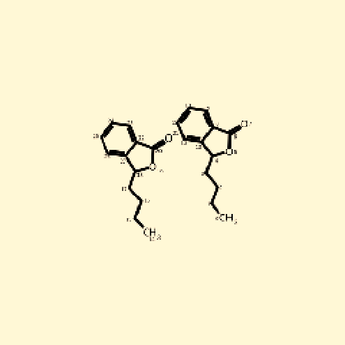 CCCCC1OC(=O)c2ccccc21.CCCCC1OC(=O)c2ccccc21